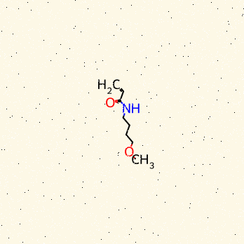 C=CC(=O)NCCCCOC